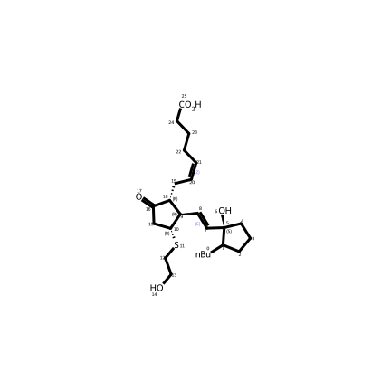 CCCCC1CCC[C@@]1(O)/C=C/[C@H]1[C@H](SCCO)CC(=O)[C@@H]1C/C=C\CCCC(=O)O